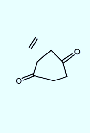 C=C.O=C1CCC(=O)CC1